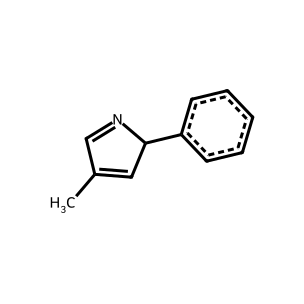 CC1=CC(c2ccccc2)N=C1